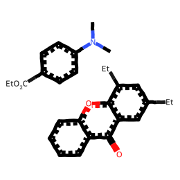 CCOC(=O)c1ccc(N(C)C)cc1.CCc1cc(CC)c2oc3ccccc3c(=O)c2c1